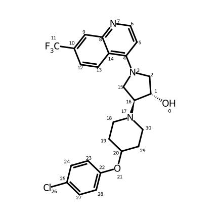 O[C@H]1CN(c2ccnc3cc(C(F)(F)F)ccc23)C[C@@H]1N1CCC(Oc2ccc(Cl)cc2)CC1